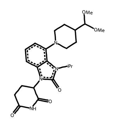 COC(OC)C1CCN(c2cccc3c2n(C(C)C)c(=O)n3C2CCC(=O)NC2=O)CC1